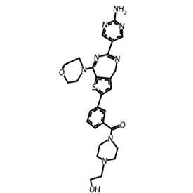 Nc1ncc(C2=NCc3cc(-c4cccc(C(=O)N5CCN(CCO)CC5)c4)sc3C(N3CCOCC3)=N2)cn1